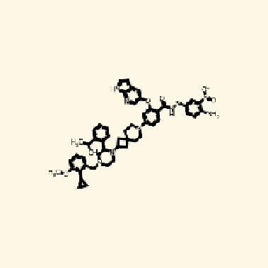 COc1cccc(CN2CCN(C3CC4(CCN(c5ccc(C(=O)NSc6ccc(N)c([N+](=O)[O-])c6)c(Oc6cnc7[nH]ccc7c6)c5)CC4)C3)C(c3ccccc3C(C)C)C2)c1C1CC1